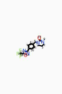 CN1CCCN(Cc2ccc(-c3noc(C(F)(F)F)n3)cc2)C1=O